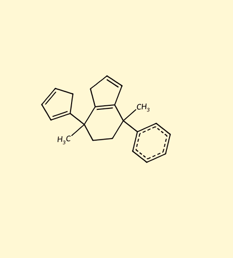 CC1(C2=CC=CC2)CCC(C)(c2ccccc2)C2=C1CC=C2